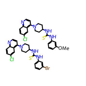 COc1cccc(NC(=S)NC2CCN(c3ccnc4ccc(Cl)cc34)CC2)c1.S=C(Nc1cccc(Br)c1)NC1CCN(c2ccnc3ccc(Cl)cc23)CC1